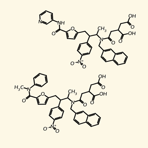 CC(C(Cc1ccc(C(=O)N(C)c2ccccc2)o1)c1ccc([N+](=O)[O-])cc1)N(Cc1ccc2ccccc2c1)C(=O)CC(CC(=O)O)C(=O)O.CC(C(Cc1ccc(C(=O)Nc2cccnc2)o1)c1ccc([N+](=O)[O-])cc1)N(Cc1ccc2ccccc2c1)C(=O)CC(CC(=O)O)C(=O)O